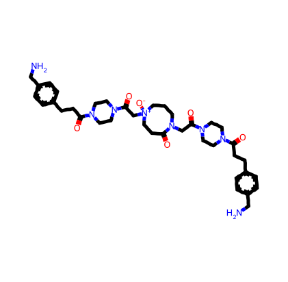 NCc1ccc(CCC(=O)N2CCN(C(=O)CN3CCC[N+]([O-])(CC(=O)N4CCN(C(=O)CCc5ccc(CN)cc5)CC4)CCC3=O)CC2)cc1